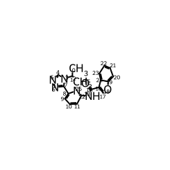 CC(C)n1cnnc1-c1cccc(NC(=O)c2coc3ccccc23)n1